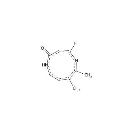 Cc1nc(F)cc(=O)[nH]ccn1C